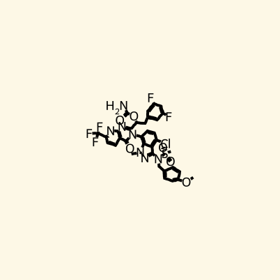 COc1ccc(CN(c2nn(C)c3c(-n4c(C(Cc5cc(F)cc(F)c5)OC(N)=O)nc5nc(C(F)(F)F)ccc5c4=O)ccc(Cl)c23)S(C)(=O)=O)cc1